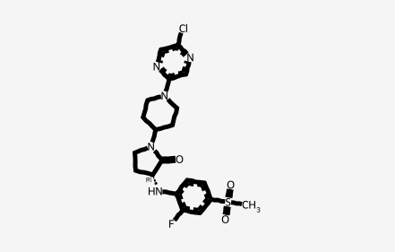 CS(=O)(=O)c1ccc(N[C@@H]2CCN(C3CCN(c4cnc(Cl)cn4)CC3)C2=O)c(F)c1